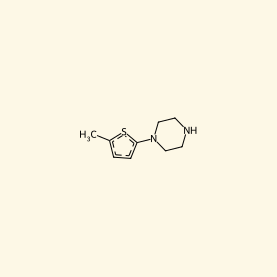 Cc1ccc(N2CCNCC2)s1